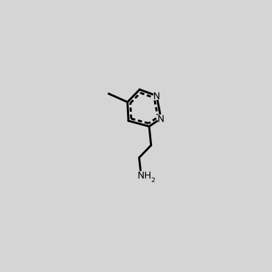 Cc1cnnc(CCN)c1